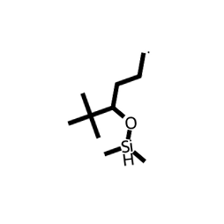 [CH2]CCC(O[SiH](C)C)C(C)(C)C